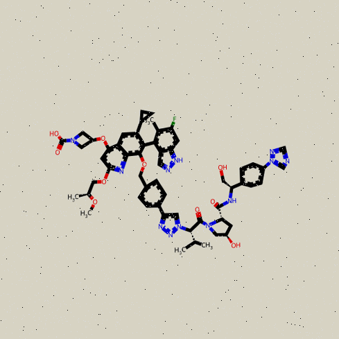 CO[C@@H](C)COc1cc(OC2CN(C(=O)O)C2)c2cc(C3CC3)c(-c3c(C)c(F)cc4[nH]ncc34)c(OCc3ccc(-c4cn([C@H](C(=O)N5C[C@H](O)C[C@H]5C(=O)N[C@@H](CO)c5ccc(-n6cncn6)cc5)C(C)C)nn4)cc3)c2n1